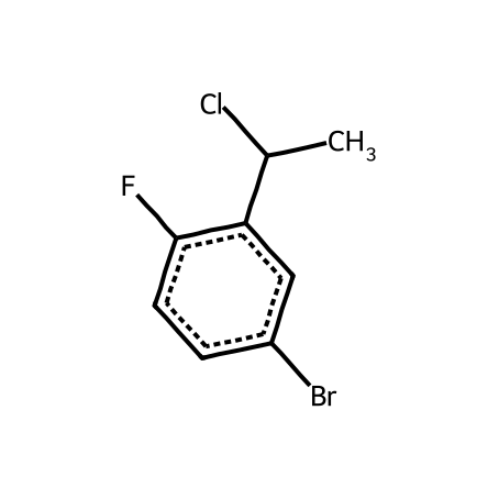 CC(Cl)c1cc(Br)ccc1F